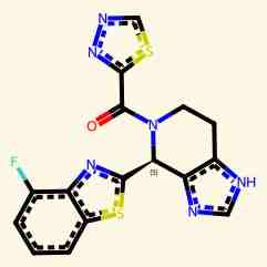 O=C(c1nncs1)N1CCc2[nH]cnc2[C@H]1c1nc2c(F)cccc2s1